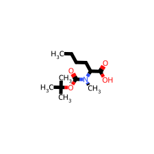 CCCCC(C(=O)O)N(C)C(=O)OC(C)(C)C